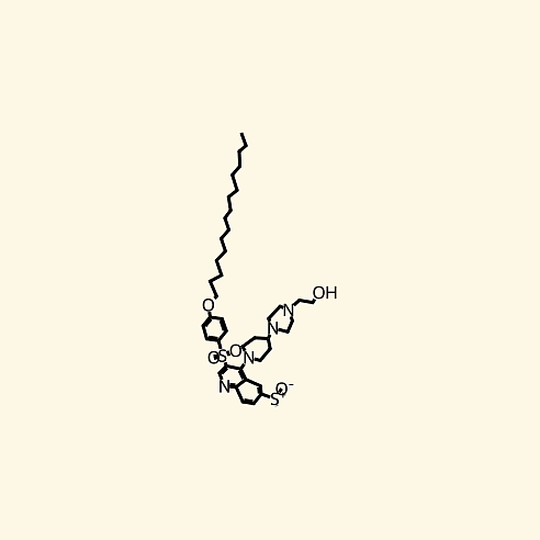 CCCCCCCCCCCCCCCCOc1ccc(S(=O)(=O)c2cnc3ccc([S+](C)[O-])cc3c2N2CCC(N3CCN(CCO)CC3)CC2)cc1